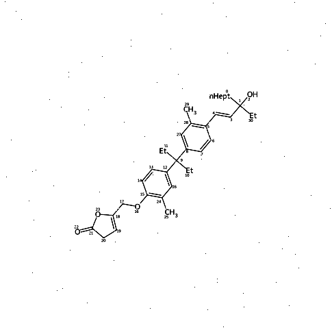 CCCCCCCC(O)(C=Cc1ccc(C(CC)(CC)c2ccc(OCC3=CCC(=O)O3)c(C)c2)cc1C)CC